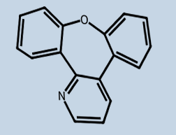 c1ccc2c(c1)Oc1ccccc1-c1ncccc1-2